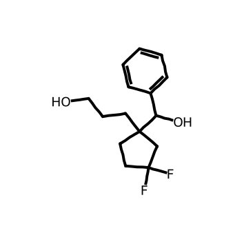 OCCCC1(C(O)c2ccccc2)CCC(F)(F)C1